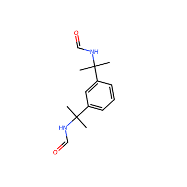 CC(C)(NC=O)c1cccc(C(C)(C)NC=O)c1